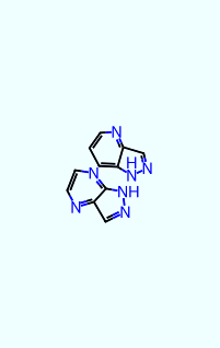 c1cnc2[nH]ncc2n1.c1cnc2cn[nH]c2c1